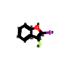 Fc1c(I)oc2ccccc12